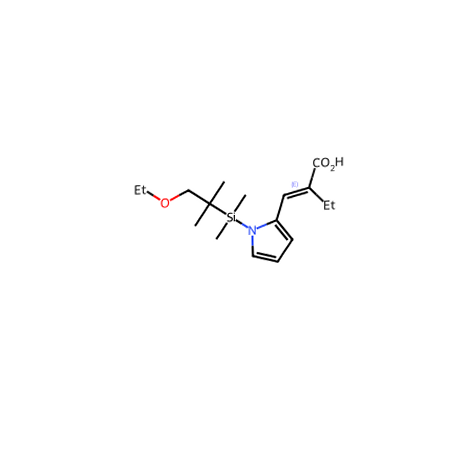 CCOCC(C)(C)[Si](C)(C)n1cccc1/C=C(\CC)C(=O)O